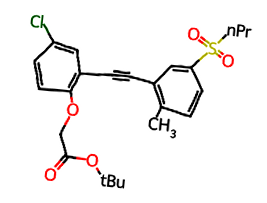 CCCS(=O)(=O)c1ccc(C)c(C#Cc2cc(Cl)ccc2OCC(=O)OC(C)(C)C)c1